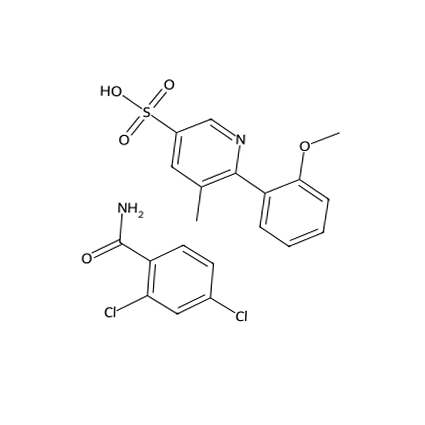 COc1ccccc1-c1ncc(S(=O)(=O)O)cc1C.NC(=O)c1ccc(Cl)cc1Cl